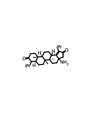 CC(C)C1=C2[C@H]3CC[C@@H]4[C@@]5(C)CCC(=O)C(C(C)C)[C@@H]5CC[C@@]4(C)[C@]3(C)CC[C@@]2(N)CC1=O